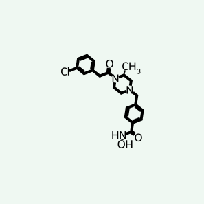 C[C@H]1CN(Cc2ccc(C(=O)NO)cc2)CCN1C(=O)Cc1cccc(Cl)c1